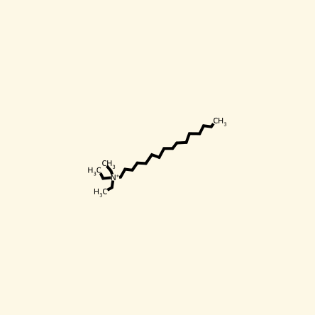 CCCCCCCCCCCCCCCC[N+](CC)(CC)CC